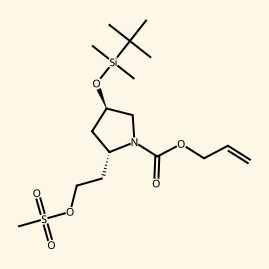 C=CCOC(=O)N1C[C@H](O[Si](C)(C)C(C)(C)C)C[C@H]1CCOS(C)(=O)=O